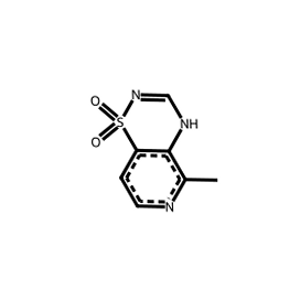 Cc1nccc2c1NC=NS2(=O)=O